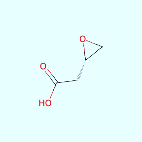 O=C(O)C[C@H]1CO1